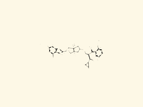 N=C(/C(CO[C@H]1C[C@@H]2CN(c3nc4c(F)cc(C(=O)O)cc4s3)C[C@@H]2C1)=C(\O)C1CC1)c1ccccc1OC(F)(F)F